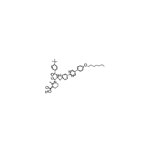 CCCCCCCOc1ccc(-c2cnc(-c3ccc(C[C@H](NC(=O)c4ccc(C(C)(C)C)cc4)C(=O)N4CCC[C@@H](C(=O)O)[C@H]4C)cc3)nc2)cc1